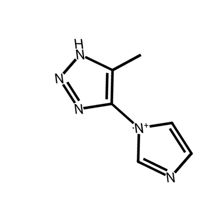 Cc1[nH]nnc1[N+]1C=CN=C1